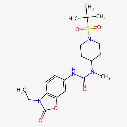 CCn1c(=O)oc2cc(NC(=O)N(C)C3CCN(S(=O)(=O)C(C)(C)C)CC3)ccc21